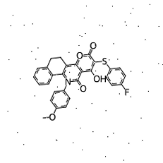 COc1ccc(-n2c3c(c4oc(=O)c(Sc5ccc(F)cc5)c(O)c4c2=O)CCc2ccccc2-3)cc1